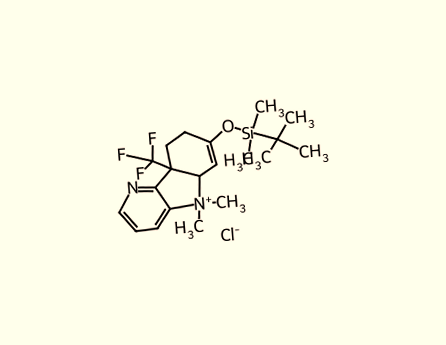 CC(C)(C)[Si](C)(C)OC1=CC2C(C(F)(F)F)(CC1)c1ncccc1[N+]2(C)C.[Cl-]